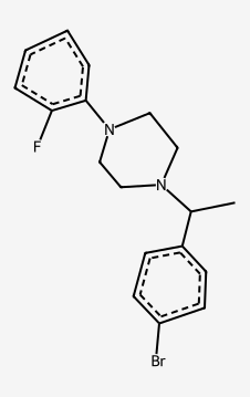 CC(c1ccc(Br)cc1)N1CCN(c2ccccc2F)CC1